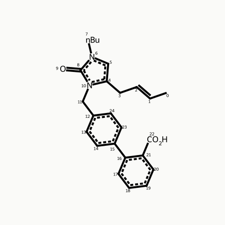 CC=CCc1cn(CCCC)c(=O)n1Cc1ccc(-c2ccccc2C(=O)O)cc1